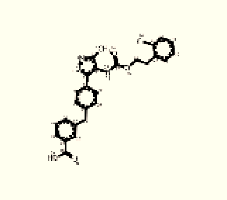 Cc1noc(-c2ccc(Cc3cccc(C(=O)O)c3)cc2)c1NC(=O)OCCc1ccccc1Cl